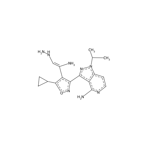 CC(C)n1nc(-c2noc(C3CC3)c2/C(N)=C/NN)c2c(N)nccc21